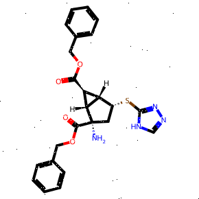 N[C@@]1(C(=O)OCc2ccccc2)C[C@@H](Sc2nnc[nH]2)[C@H]2[C@H](C(=O)OCc3ccccc3)[C@H]21